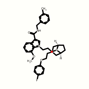 COc1cccc2c(C(=O)NCc3cccc(C)c3)cn(CCCN3[C@@H]4CC[C@H]3CN(CCOc3ccc(F)cc3)C4)c12